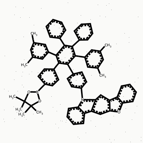 Cc1cc(C)cc(-c2c(-c3ccccc3)c(-c3ccccc3)c(-c3cc(C)cc(C)c3)c(-c3ccc(-n4c5ccccc5c5cc6oc7ccccc7c6cc54)cc3)c2-c2ccc(B3OC(C)(C)C(C)(C)O3)cc2)c1